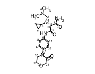 CC(C)C[As](C1CC1)[C@H](C(N)=O)C(=O)Nc1ccc(N2CCOCC2=O)cc1